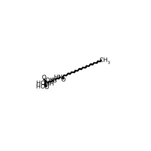 CCC=CCC=CCC=CCC=CCC=CCC=CCCC(=O)NCCSSCCN[C@](O)(C(=O)O)[C@@H](O)C=O